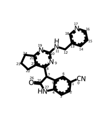 N#Cc1ccc2c(c1)C(c1nc(NCc3cccnc3)nc3c1CCC3)C(=O)N2